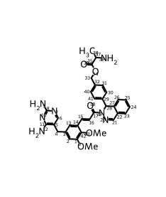 COc1cc(Cc2cnc(N)nc2N)cc(C=CC(=O)N2N=Cc3ccccc3C2c2ccc(COC(=O)C(C)N)cc2)c1OC